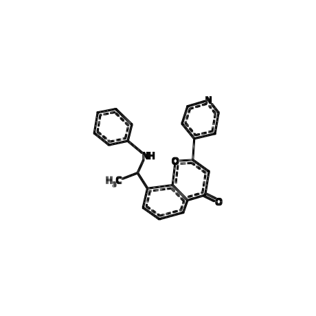 CC(Nc1ccccc1)c1cccc2c(=O)cc(-c3ccncc3)oc12